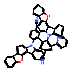 N#Cc1ccc(-n2c3ccccc3c3c4oc5ccccc5c4ccc32)c(-c2cc(C#N)cc(-c3ccccn3)c2-n2c3ccccc3c3c4oc5ccccc5c4ccc32)c1